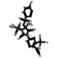 C[C@@]1(CS(=O)(=O)c2ccc(F)cc2)C(=O)N(c2ccc(C#N)c(C(F)(F)F)c2)C(=S)N1S(C)(=O)=O